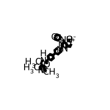 Cc1nn(C)cc1C(C)NC(=O)c1ccc(C2CCN(c3nc4c(c(NC5CCOCC5)n3)[S+]([O-])CC4)CC2)cc1